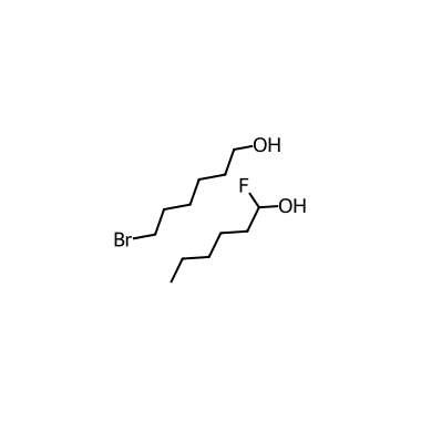 CCCCCC(O)F.OCCCCCCBr